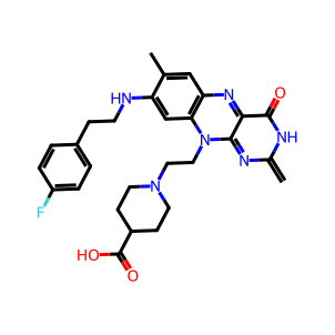 C=c1nc2c(c(=O)[nH]1)=Nc1cc(C)c(NCCc3ccc(F)cc3)cc1N2CCN1CCC(C(=O)O)CC1